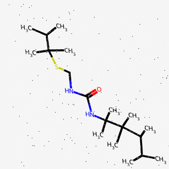 CC(C)C(C)C(C)(C)C(C)(C)NC(=O)NCSC(C)(C)C(C)C